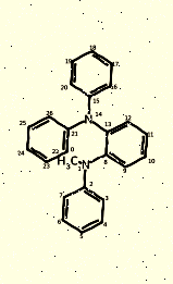 CN(c1ccccc1)c1ccccc1N(c1ccccc1)c1ccccc1